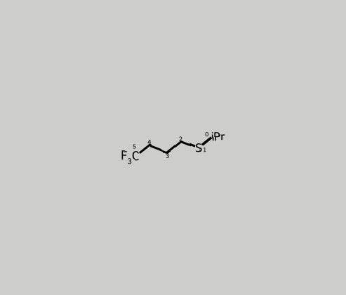 CC(C)SCCCC(F)(F)F